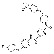 CC(=O)c1ccc(OC2CCN(C(=O)c3ccc(C(=O)Nc4ccc(Oc5ccc(F)cc5)nc4)cn3)CC2)cc1